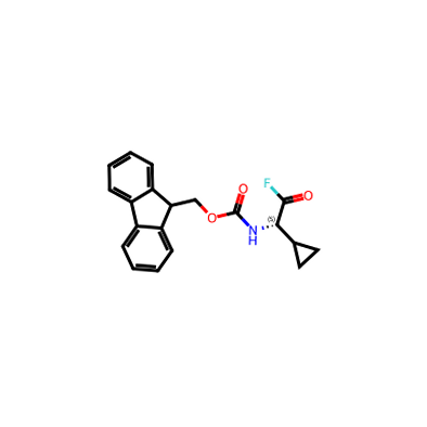 O=C(N[C@H](C(=O)F)C1CC1)OCC1c2ccccc2-c2ccccc21